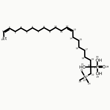 CC/C=C\CCCCCCCCC/C=C\CCCCCCC(O)(C[N+](C)(C)C)P(=O)(O)O